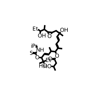 CCC(O)C(C)C1OC1CC(C)(O)/C=C/C=C(\C)C(OC(=O)CC(C)O)C(C)/C=C/C(OC(=S)NC(C)C)C(C)(O)CC